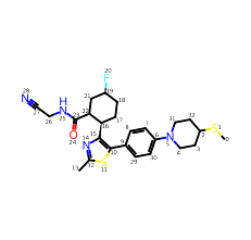 CSC1CCN(c2ccc(-c3sc(C)nc3[C@@H]3CC[C@H](F)CC3C(=O)NCC#N)cc2)CC1